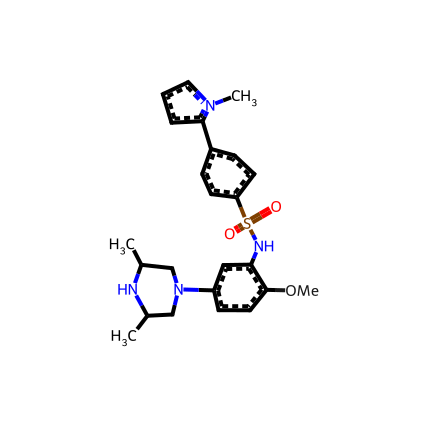 COc1ccc(N2CC(C)NC(C)C2)cc1NS(=O)(=O)c1ccc(-c2cccn2C)cc1